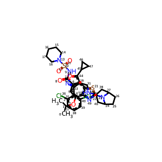 CC(C)Oc1cc(C(=O)NS(=O)(=O)N2CCCCC2)cc2sc(N3C4CCC3CC(NCc3c(-c5c(Cl)cccc5Cl)noc3C3CC3)C4)nc12